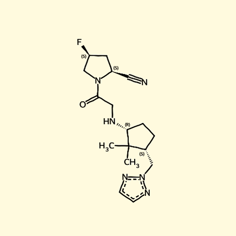 CC1(C)[C@@H](Cn2nccn2)CC[C@H]1NCC(=O)N1C[C@@H](F)C[C@H]1C#N